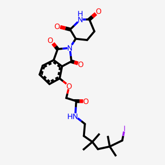 CC(C)(CI)CC(C)(C)CCNC(=O)COc1cccc2c1C(=O)N(C1CCC(=O)NC1=O)C2=O